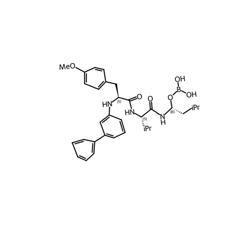 COc1ccc(C[C@H](Nc2cccc(-c3ccccc3)c2)C(=O)N[C@H](C(=O)N[C@@H](CC(C)C)OB(O)O)C(C)C)cc1